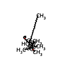 CCCCCCCCCCCCCCCCCCCCCCCCCC(=O)N[C@@H](CO[C@H]1OC(COCCCC)[C@H](OCCCC)C(OCCCC)C1OCCCC)[C@H](O)/C=C/CCc1ccccc1